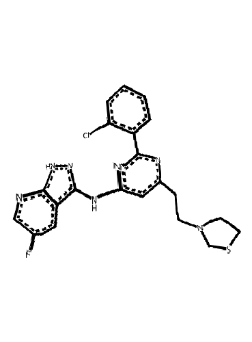 Fc1cnc2[nH]nc(Nc3cc(CCN4CCSC4)nc(-c4ccccc4Cl)n3)c2c1